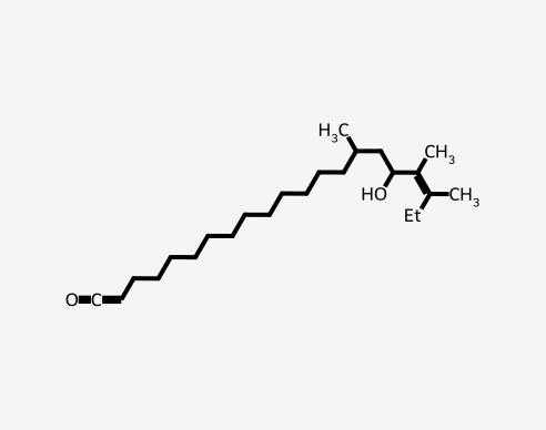 CCC(C)=C(C)C(O)CC(C)CCCCCCCCCCCCC=C=O